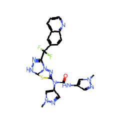 Cn1cc(NC(=O)N(C2=NN3C(C(F)(F)c4ccc5ncccc5c4)=NNC3S2)c2cnn(C)c2)cn1